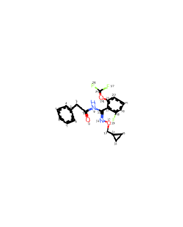 O=C(Cc1ccccc1)NC(=NOCC1CC1)c1c(F)cccc1OC(F)F